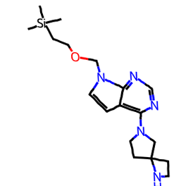 C[Si](C)(C)CCOCn1ccc2c(N3CCC4(CCN4)C3)ncnc21